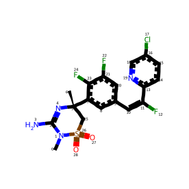 CN1C(N)=N[C@](C)(c2cc(/C=C(/F)c3ccc(Cl)cn3)cc(F)c2F)CS1(=O)=O